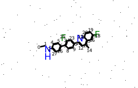 CCNc1ccc(-c2ccc(-c3cc(C)c4cc(F)ccc4n3)cc2F)cc1